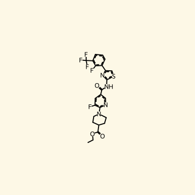 CCOC(=O)C1CCN(c2ncc(C(=O)Nc3nc(-c4cccc(C(F)(F)F)c4F)cs3)cc2F)CC1